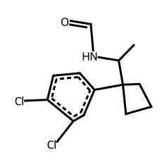 CC(NC=O)C1(c2ccc(Cl)c(Cl)c2)CCC1